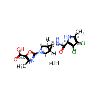 Cc1nc(N2C[C@@H]3[C@H](C2)[C@H]3NC(=O)c2[nH]c(C)c(Cl)c2Cl)oc1C(=O)O.[LiH]